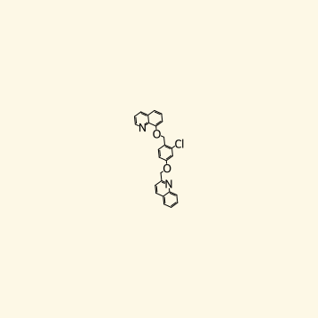 Clc1cc(OCc2ccc3ccccc3n2)ccc1COc1cccc2cccnc12